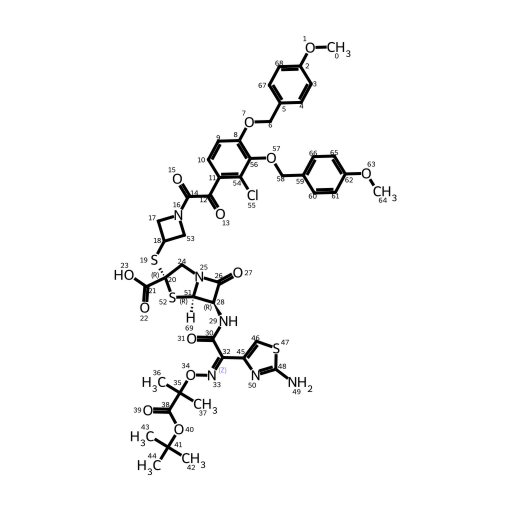 COc1ccc(COc2ccc(C(=O)C(=O)N3CC(S[C@]4(C(=O)O)CN5C(=O)[C@@H](NC(=O)/C(=N\OC(C)(C)C(=O)OC(C)(C)C)c6csc(N)n6)[C@H]5S4)C3)c(Cl)c2OCc2ccc(OC)cc2)cc1